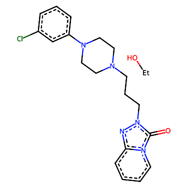 CCO.O=c1n(CCCN2CCN(c3cccc(Cl)c3)CC2)nc2ccccn12